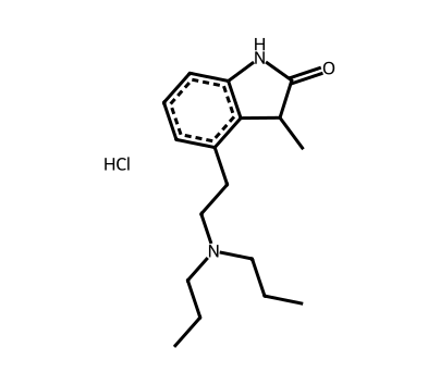 CCCN(CCC)CCc1cccc2c1C(C)C(=O)N2.Cl